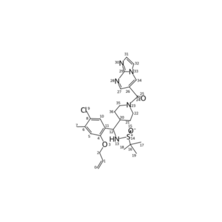 C=CCOc1cc(C)c(Cl)cc1C(N[S@@+]([O-])C(C)(C)C)C1CCN(C(=O)c2cnc3nccn3c2)CC1